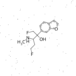 CNC(CCF)C(O)(CF)c1ccc2ccoc2c1